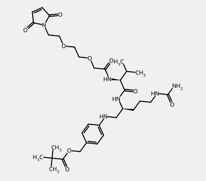 CC(C)[C@H](NC(=O)COCCOCCN1C(=O)C=CC1=O)C(=O)N[C@@H](CCCNC(N)=O)CNc1ccc(COC(=O)C(C)(C)C)cc1